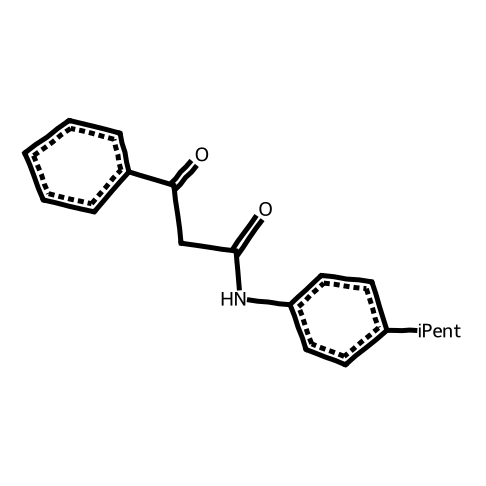 CCCC(C)c1ccc(NC(=O)CC(=O)c2ccccc2)cc1